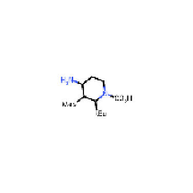 CSC1C(N)CCN(C(=O)O)C1C(C)(C)C